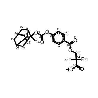 CC1(OC(=O)Oc2ccc(C(=O)OCC(F)(F)C(=O)O)cc2)C2CC3CC(C2)CC1C3